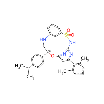 Cc1cccc(C)c1-c1cc2nc(n1)NS(=O)(=O)c1cccc(c1)NC[C@@H](c1ccc(C(C)C)cc1)O2